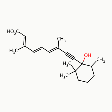 CC(C#CC1(O)C(C)CCCC1(C)C)=CC=CC(C)=CC(=O)O